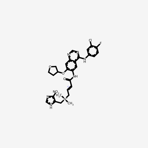 C[N+](C)(C/C=C/C(=O)Nc1cc2c(Nc3ccc(F)c(Cl)c3)ncnc2cc1OC1CCOC1)Cc1[nH]cnc1[N+](=O)[O-]